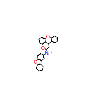 O=C(CC1c2ccccc2Oc2ccccc21)Nc1ccc2oc3c(c2c1)CCCC3